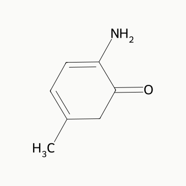 CC1=CC=C(N)C(=O)C1